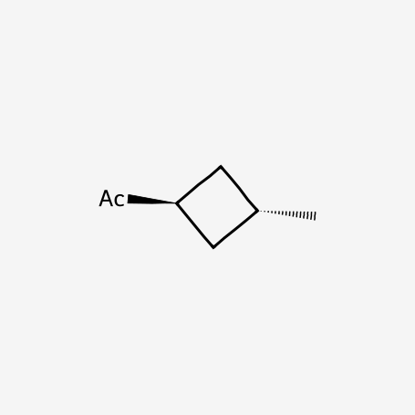 CC(=O)[C@H]1C[C@H](C)C1